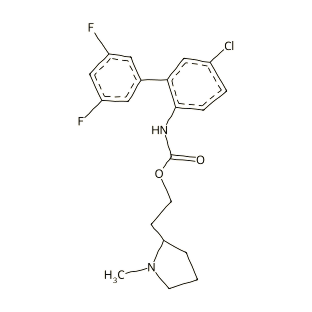 CN1CCCC1CCOC(=O)Nc1ccc(Cl)cc1-c1cc(F)cc(F)c1